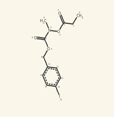 CCC(=O)ON(C)C(=O)OCc1ccc(I)cc1